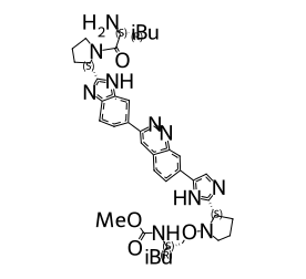 CC[C@@H](C)[C@H](N)C(=O)N1CCC[C@H]1c1nc2ccc(-c3cc4ccc(-c5cnc([C@@H]6CCCN6OC[C@@H](NC(=O)OC)[C@H](C)CC)[nH]5)cc4nn3)cc2[nH]1